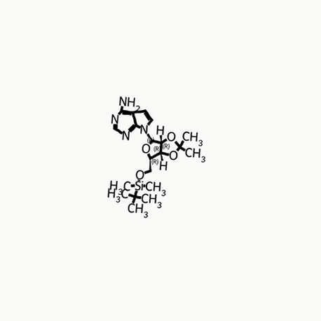 CC1(C)O[C@@H]2[C@H](O1)[C@@H](CO[Si](C)(C)C(C)(C)C)O[C@H]2n1ccc2c(N)ncnc21